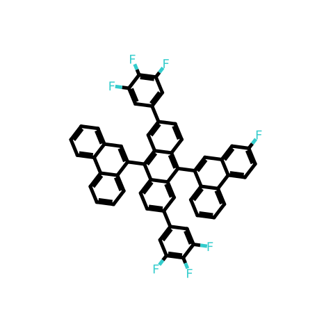 Fc1ccc2c(c1)cc(-c1c3ccc(-c4cc(F)c(F)c(F)c4)cc3c(-c3cc4ccccc4c4ccccc34)c3ccc(-c4cc(F)c(F)c(F)c4)cc13)c1ccccc12